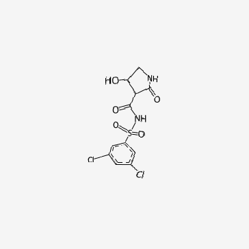 O=C1NCC(O)C1C(=O)NS(=O)(=O)c1cc(Cl)cc(Cl)c1